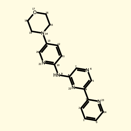 c1ccc(-c2cncc(Nc3ccc(N4CCOCC4)cn3)n2)nc1